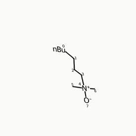 CCCCCCC[N+](C)(C)[O-]